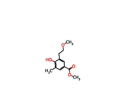 COCCc1cc(C(=O)OC)cc(C)c1O